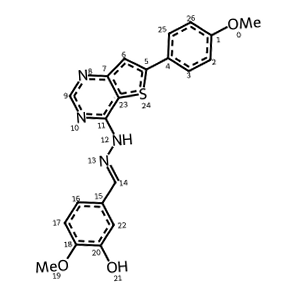 COc1ccc(-c2cc3ncnc(NN=Cc4ccc(OC)c(O)c4)c3s2)cc1